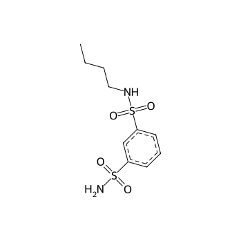 CCCCNS(=O)(=O)c1cccc(S(N)(=O)=O)c1